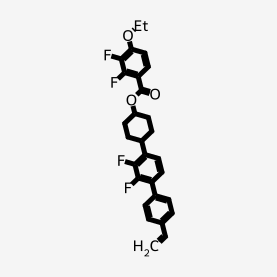 C=Cc1ccc(-c2ccc(C3CCC(OC(=O)c4ccc(OCC)c(F)c4F)CC3)c(F)c2F)cc1